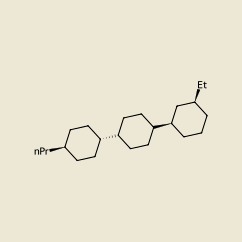 CCC[C@H]1CC[C@H](C2CCC([C@@H]3CCC[C@H](CC)C3)CC2)CC1